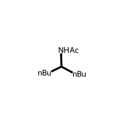 CCCCC(CCCC)NC(C)=O